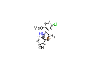 COc1ccc(Cl)cc1C(C)Nc1ccc(C#N)cc1Br